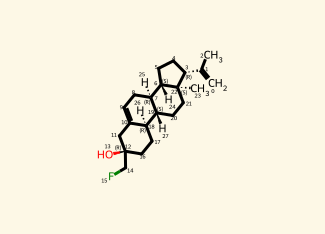 C=C(C)[C@H]1CC[C@H]2[C@@H]3CC=C4C[C@@](O)(CF)CC[C@@H]4[C@H]3CC[C@]12C